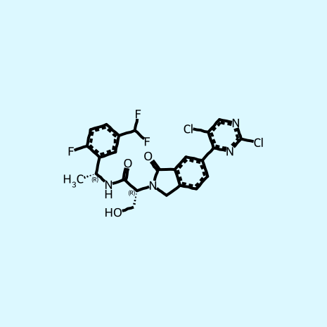 C[C@@H](NC(=O)[C@@H](CO)N1Cc2ccc(-c3nc(Cl)ncc3Cl)cc2C1=O)c1cc(C(F)F)ccc1F